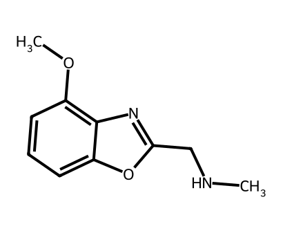 CNCc1nc2c(OC)cccc2o1